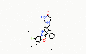 CC(=O)C1=NN2c3cc(F)ccc3OCC2[C@@]1(c1ccccc1)C(C)CCN1CCNC(=O)CC1